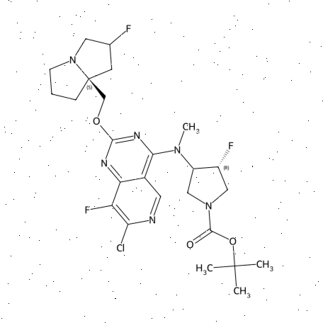 CN(c1nc(OC[C@@]23CCCN2CC(F)C3)nc2c(F)c(Cl)ncc12)C1CN(C(=O)OC(C)(C)C)C[C@H]1F